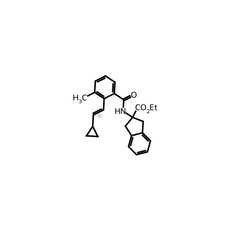 CCOC(=O)C1(NC(=O)c2cccc(C)c2/C=C/C2CC2)Cc2ccccc2C1